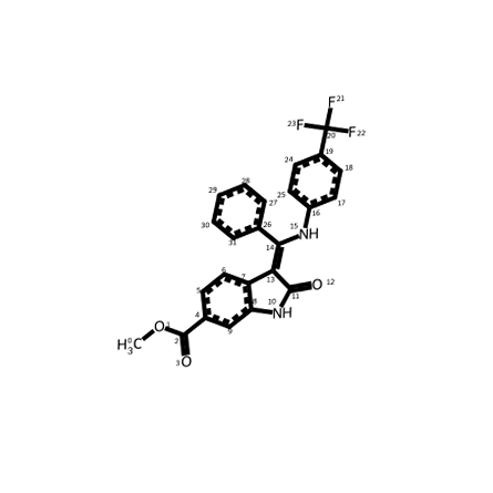 COC(=O)c1ccc2c(c1)NC(=O)/C2=C(\Nc1ccc(C(F)(F)F)cc1)c1ccccc1